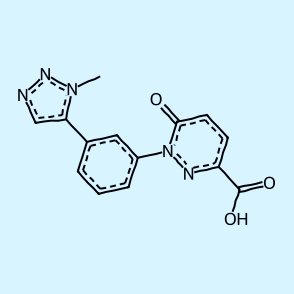 Cn1nncc1-c1cccc(-n2nc(C(=O)O)ccc2=O)c1